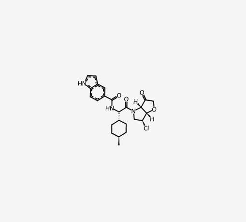 C[C@H]1CC[C@H](C(NC(=O)c2ccc3[nH]ccc3c2)C(=O)N2C[C@H](Cl)[C@H]3OCC(=O)[C@H]32)CC1